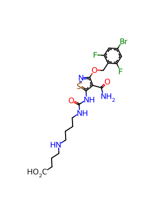 NC(=O)c1c(OCc2c(F)cc(Br)cc2F)nsc1NC(=O)NCCCCNCCCC(=O)O